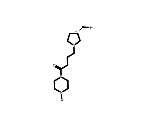 CC(C)C[C@H]1CCN(CCCC(=O)N2CCN(C(C)C)CC2)C1